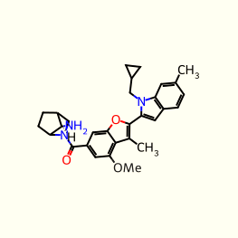 COc1cc(C(=O)N2CC3CCC2[C@@H]3N)cc2oc(-c3cc4ccc(C)cc4n3CC3CC3)c(C)c12